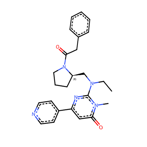 CCN(C[C@H]1CCCN1C(=O)Cc1ccccc1)c1nc(-c2ccncc2)cc(=O)n1C